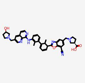 Cc1c(Nc2nccc3cc(CN4CC[C@@H](O)C4)cnc23)cccc1C1=CC=CC(c2nc3cc(CN4CC[C@@H](C(=O)O)C4)cc(C#N)c3o2)C1C